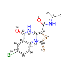 CC(C)NC(=O)c1sc(=S)n2c1[nH]c(=O)c1cc(Br)ccc12